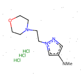 CNc1cnn(CCN2CCOCC2)c1.Cl.Cl.Cl